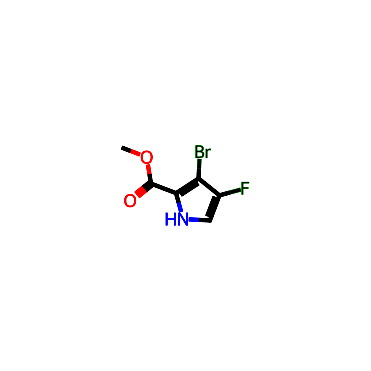 COC(=O)c1[nH]cc(F)c1Br